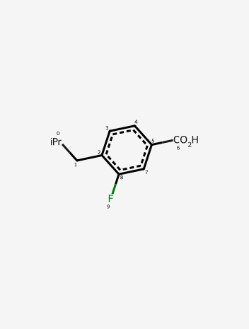 CC(C)Cc1ccc(C(=O)O)cc1F